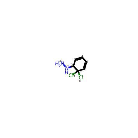 NNC1C=CC=CC1(Cl)Cl